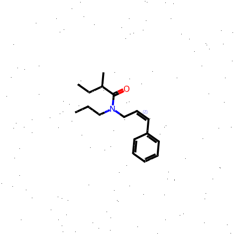 CCCN(C/C=C\c1ccccc1)C(=O)C(C)CC